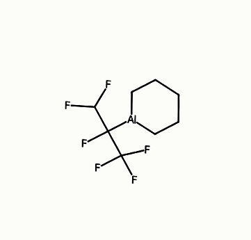 FC(F)[C](F)([Al]1[CH2]CCC[CH2]1)C(F)(F)F